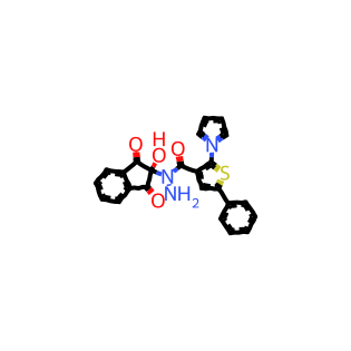 NN(C(=O)c1cc(-c2ccccc2)sc1-n1cccc1)C1(O)C(=O)c2ccccc2C1=O